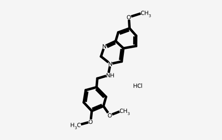 COc1ccc2c(c1)=NCN(NCc1ccc(OC)c(OC)c1)C=2.Cl